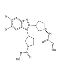 CC(C)(C)OC(=O)N[C@@H]1CCN(c2nc3cc(Br)c(Br)cc3n2C2CCN(C(=O)OC(C)(C)C)C2)C1